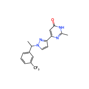 Cc1nc(-c2ccn(C(C)c3cccc(C(F)(F)F)c3)n2)cc(=O)[nH]1